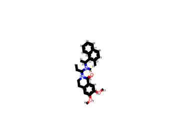 CCC(N1CCc2cc(OC)c(OC)cc2C1=O)N(C)C(C)c1c(C)ccc2ccccc12